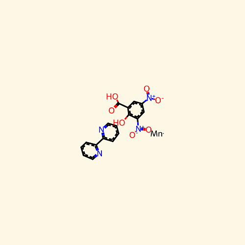 O=C(O)c1cc([N+](=O)[O-])cc([N+](=O)[O-])c1O.[Mn].c1ccc(-c2ccccn2)nc1